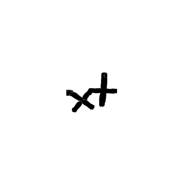 CC[N+](C)(C)CS(C)(=O)=O